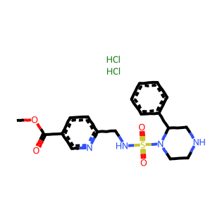 COC(=O)c1ccc(CNS(=O)(=O)N2CCNCC2c2ccccc2)nc1.Cl.Cl